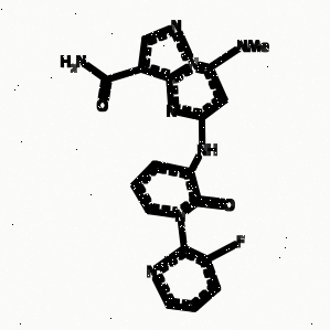 CNc1cc(Nc2cccn(-c3ncccc3F)c2=O)nc2c(C(N)=O)cnn12